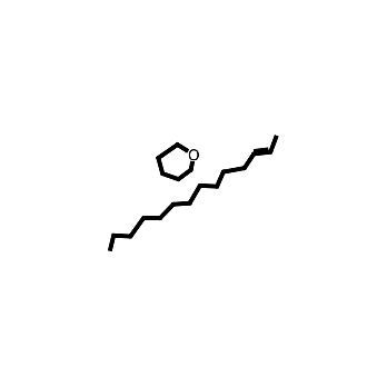 C/C=C/CCCCCCCCCCC.C1CCOCC1